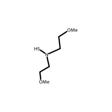 COCCN(S)CCOC